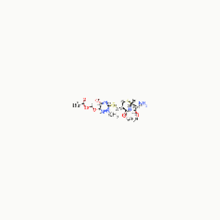 Cn1nc(OCOC(=O)C(C)(C)C)c(=O)nc1SCC1=C(OC(=O)O)N2C(=O)[C@@H](N)[C@H]2SC1